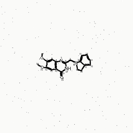 COc1cc2nc(CN3CCc4ccccc43)[nH]c(=O)c2cc1OC